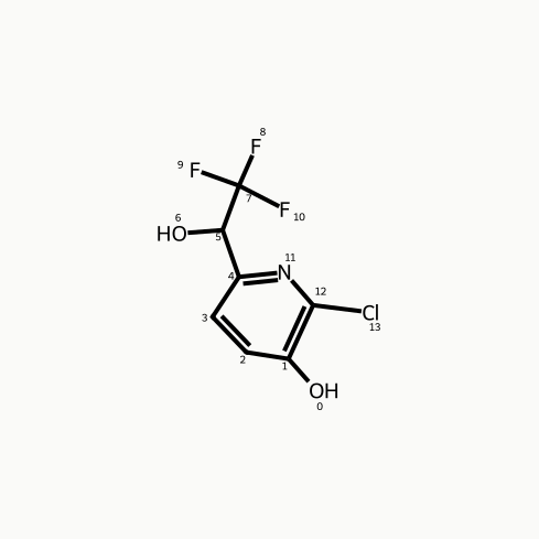 Oc1ccc(C(O)C(F)(F)F)nc1Cl